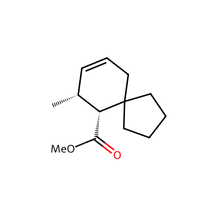 COC(=O)[C@@H]1[C@H](C)C=CCC12CCCC2